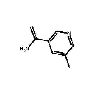 C=C(N)c1cncc(C)c1